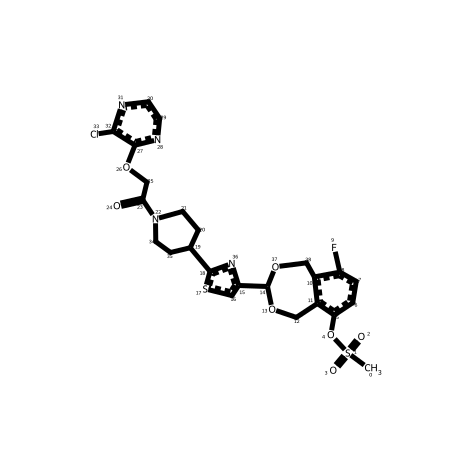 CS(=O)(=O)Oc1ccc(F)c2c1COC(c1csc(C3CCN(C(=O)COc4nccnc4Cl)CC3)n1)OC2